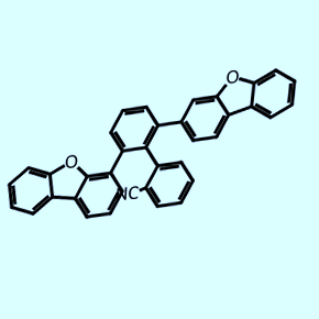 N#Cc1ccccc1-c1c(-c2ccc3c(c2)oc2ccccc23)cccc1-c1cccc2c1oc1ccccc12